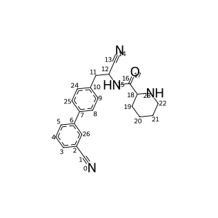 N#Cc1cccc(-c2ccc(CC(C#N)NC(=O)C3CCCCN3)cc2)c1